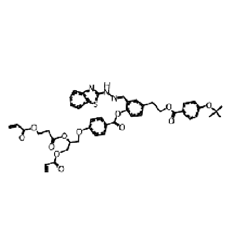 C=CC(=O)OCCC(=O)OC(COC(=O)C=C)COc1ccc(C(=O)Oc2ccc(CCOC(=O)c3ccc(OC(C)(C)C)cc3)cc2/C=N/Nc2nc3ccccc3s2)cc1